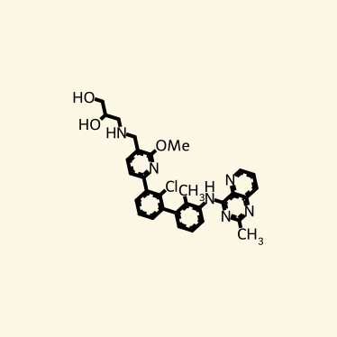 COc1nc(-c2cccc(-c3cccc(Nc4nc(C)nc5cccnc45)c3C)c2Cl)ccc1CNCC(O)CO